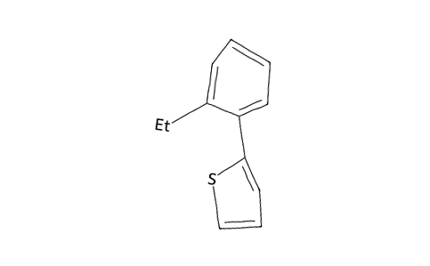 [CH2]Cc1ccccc1-c1cccs1